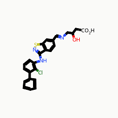 O=C(O)CC(O)CN=Cc1ccc2c(Nc3cccc(-c4ccccc4)c3Cl)nsc2c1